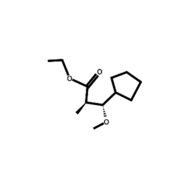 CCOC(=O)[C@H](C)[C@@H](OC)C1CCCC1